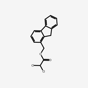 O=C(OCc1cccc2c1Cc1ccccc1-2)C(Cl)Cl